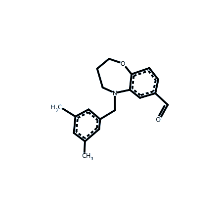 Cc1cc(C)cc(CN2CCCOc3ccc(C=O)cc32)c1